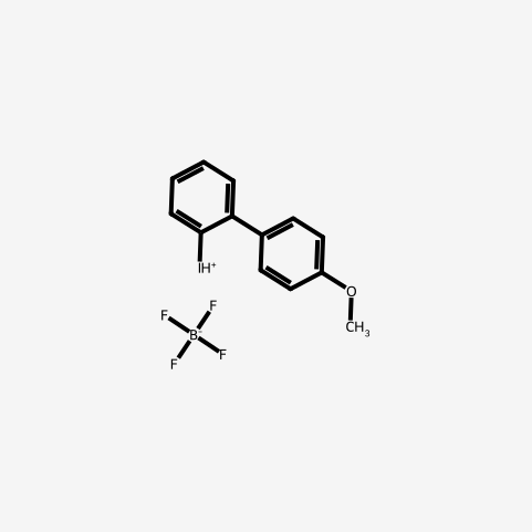 COc1ccc(-c2ccccc2[IH+])cc1.F[B-](F)(F)F